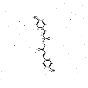 O=C(/C=C/c1ccc(O)cc1)COC(=O)/C=C/c1ccc(O)cc1